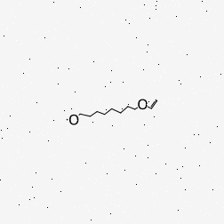 C=COCCCCCCCC[O]